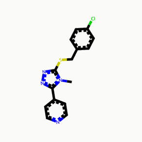 Cn1c(SCc2ccc(Cl)cc2)nnc1-c1ccncc1